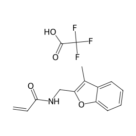 C=CC(=O)NCc1oc2ccccc2c1C.O=C(O)C(F)(F)F